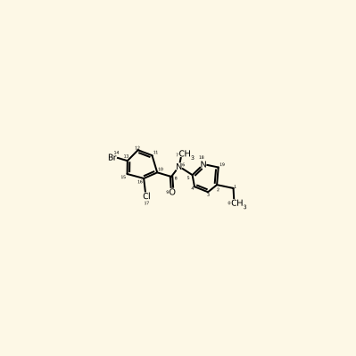 CCc1ccc(N(C)C(=O)c2ccc(Br)cc2Cl)nc1